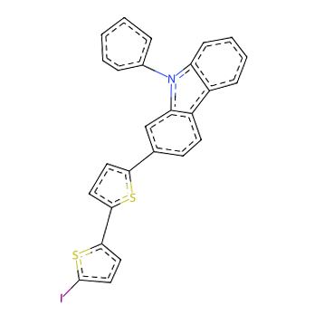 Ic1ccc(-c2ccc(-c3ccc4c5ccccc5n(-c5ccccc5)c4c3)s2)s1